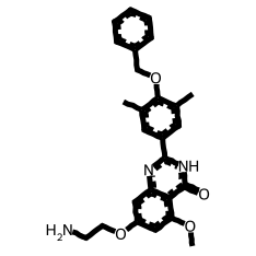 COc1cc(OCCN)cc2nc(-c3cc(C)c(OCc4ccccc4)c(C)c3)[nH]c(=O)c12